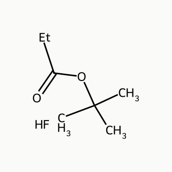 CCC(=O)OC(C)(C)C.F